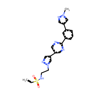 C=CS(=O)(=O)NCCn1cc(-c2cnc(-c3cccc(-c4cnn(C)c4)c3)nc2)cn1